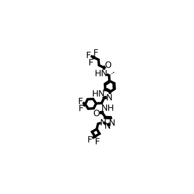 C[C@@H](NC(=O)CCC(F)(F)F)c1ccc2nc([C@@H](NC(=O)c3cnnn3CC3CC(F)(F)C3)C3CCC(F)(F)CC3)[nH]c2c1